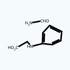 NC=O.O=C(O)CNc1ccccc1